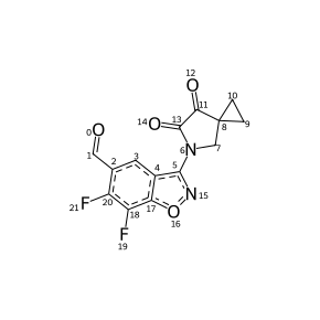 O=Cc1cc2c(N3CC4(CC4)C(=O)C3=O)noc2c(F)c1F